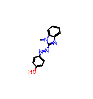 Cn1c(/N=N/c2ccc(O)cc2)nc2ccccc21